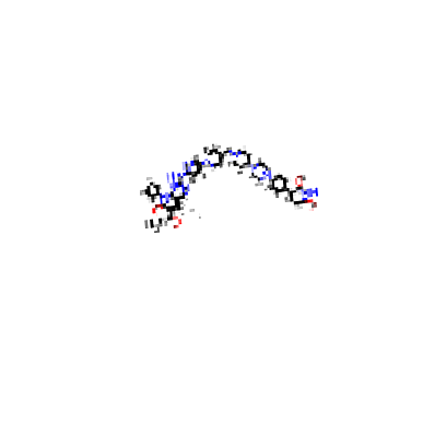 CC(=O)c1c(C)c2cnc(Nc3ccc(N4CCC(CN5CCC(N6CCN(c7ccc(C8CCC(=O)NC8=O)cc7)CC6)CC5)CC4)cn3)nc2n(C2CCCC2)c1=O